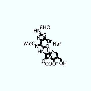 CON=C(C(=O)NC1C(=O)N2C(C(=O)[O-])=C(CO)CS[C@@H]12)c1nc(NC=O)sc1Br.[Na+]